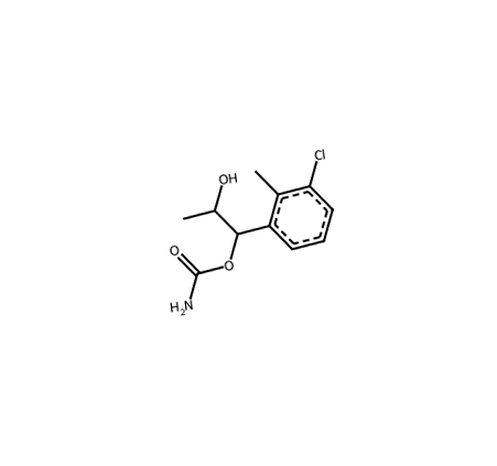 Cc1c(Cl)cccc1C(OC(N)=O)C(C)O